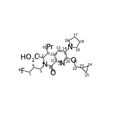 CC(C)CC(C(=O)O)N(CCCF)C(=O)c1ccc(N2CCCC2)c(OCC2CC2)n1